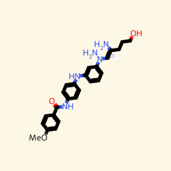 COc1ccc(C(=O)Nc2ccc(Nc3cccc(N(N)/C=C(\N)CCCO)c3)cc2)cc1